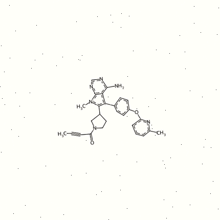 CC#CC(=O)N1CCC(c2c(-c3ccc(Oc4cccc(C)n4)cc3)c3c(N)ncnc3n2C)C1